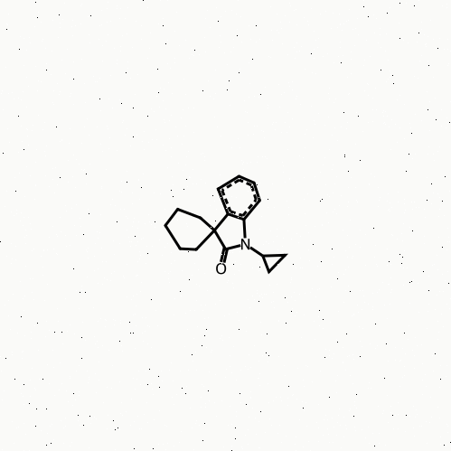 O=C1N(C2CC2)c2ccccc2C12CCCCC2